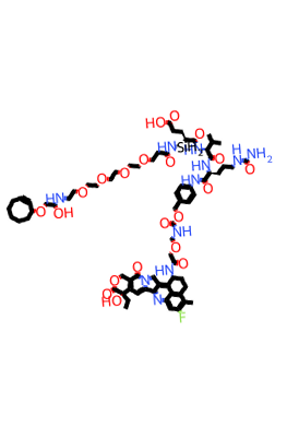 CC[C@@]1(O)C(=O)OCc2c1cc1n(c2=O)Cc2c-1nc1cc(F)c(C)c3c1c2[C@@H](NC(=O)COCNC(=O)OCc1ccc(NC(=O)[C@H](CCCNC(N)=O)NC(=O)[C@@H](NC(=O)[C@H](CCC(=O)O)[SiH2]NC(=O)CCOCCOCCOCCOCCNC(O)COC2C#CCCCCC2)C(C)C)cc1)CC3